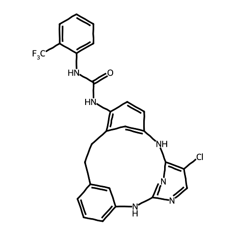 O=C(Nc1ccc2cc1CCc1cccc(c1)Nc1ncc(Cl)c(n1)N2)Nc1ccccc1C(F)(F)F